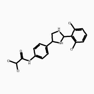 O=C(Nc1ccc(C2CNC(c3c(Cl)cccc3Cl)N2)cc1)C(Cl)Cl